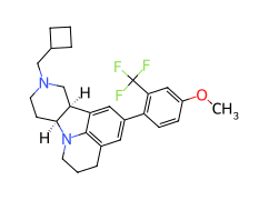 COc1ccc(-c2cc3c4c(c2)[C@@H]2CN(CC5CCC5)CC[C@@H]2N4CCC3)c(C(F)(F)F)c1